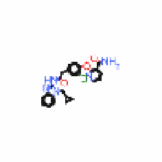 NC(=O)c1cccnc1Oc1ccc(CC(=O)Nc2nc3ccccc3n2CC2CC2)cc1Cl